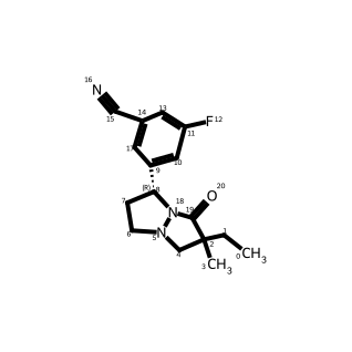 CCC1(C)CN2CC[C@H](c3cc(F)cc(C#N)c3)N2C1=O